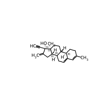 C#C[C@]1(O)C(=C)C[C@H]2[C@@H]3CC=C4C=C(C)CC[C@@H]4[C@H]3CC[C@@]21C